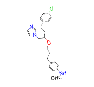 O=CNc1ccc(CCCOC(CCc2ccc(Cl)cc2)Cn2ccnc2)cc1